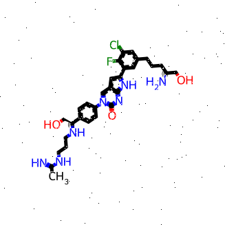 CC(=N)NCCCN[C@@H](CO)c1ccc(-n2cc3cc(-c4cc(CCC[C@@H](N)CO)cc(Cl)c4F)[nH]c3nc2=O)cc1